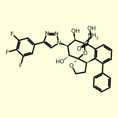 NC(=O)c1cccc(-c2ccccc2)c1[C@H]1CCO[C@]12O[C@H](CO)[C@H](O)[C@H](n1cc(-c3cc(F)c(F)c(F)c3)nn1)[C@H]2O